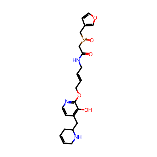 O=C(C[S+]([O-])Cc1ccoc1)NCC=CCOc1nccc(CC2CC=CCN2)c1O